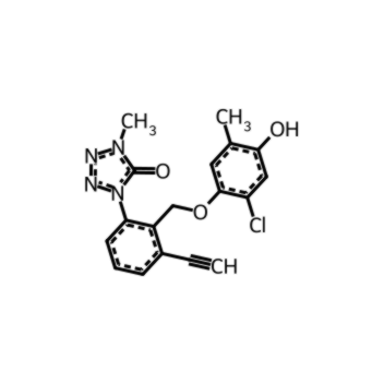 C#Cc1cccc(-n2nnn(C)c2=O)c1COc1cc(C)c(O)cc1Cl